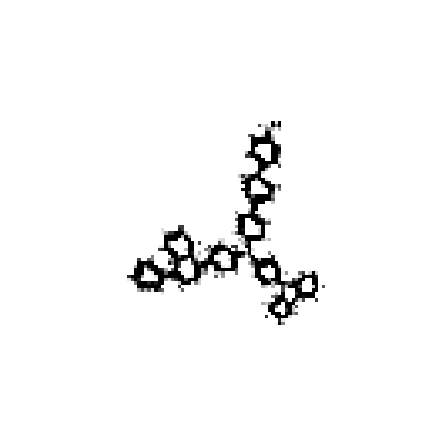 N#Cc1ccc(-c2ccc(-c3ccc(N(c4ccc(-c5ccc(-c6ccccc6)c6ccccc56)cc4)c4ccc(-n5c6ccccc6c6ccccc65)cc4)cc3)cc2)cc1